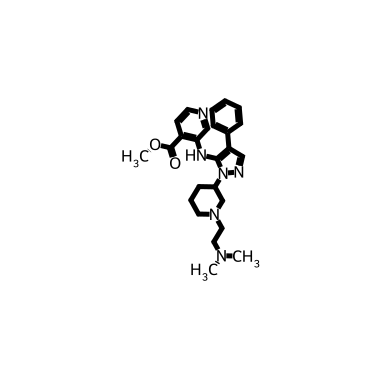 COC(=O)c1ccncc1Nc1c(-c2ccccc2)cnn1C1CCCN(CCN(C)C)C1